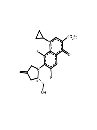 C=C1C[C@@H](CO)N(c2c(F)cc3c(=O)c(C(=O)OCC)cn(C4CC4)c3c2F)C1